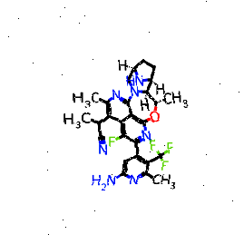 Cc1nc(N)cc(-c2nc3c4c(nc(C)c(C(C)C#N)c4c2F)N2C[C@H]4CC[C@H](N4)[C@H]2[C@H](C)O3)c1C(F)(F)F